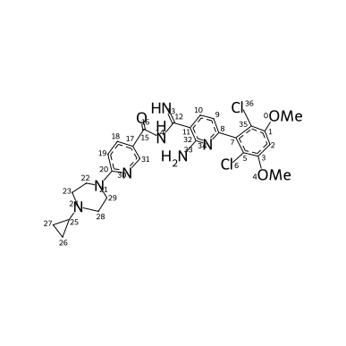 COc1cc(OC)c(Cl)c(-c2ccc(C(=N)NC(=O)c3ccc(N4CCN(C5CC5)CC4)nc3)c(N)n2)c1Cl